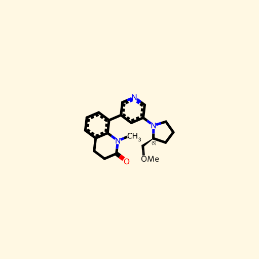 COC[C@@H]1CCCN1c1cncc(-c2cccc3c2N(C)C(=O)CC3)c1